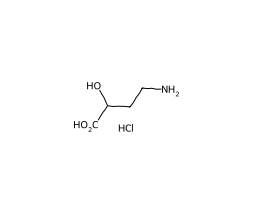 Cl.NCCC(O)C(=O)O